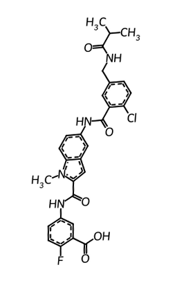 CC(C)C(=O)NCc1ccc(Cl)c(C(=O)Nc2ccc3c(c2)cc(C(=O)Nc2ccc(F)c(C(=O)O)c2)n3C)c1